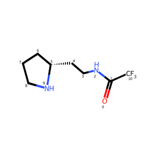 O=C(NCC[C@H]1CCCN1)C(F)(F)F